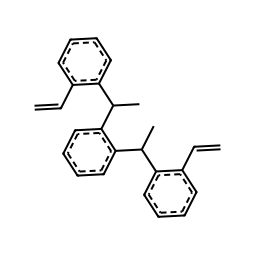 C=Cc1ccccc1C(C)c1ccccc1C(C)c1ccccc1C=C